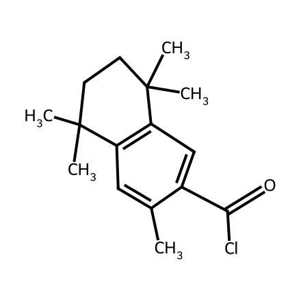 Cc1cc2c(cc1C(=O)Cl)C(C)(C)CCC2(C)C